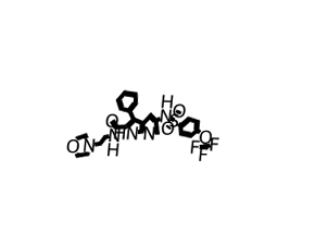 O=C(NCCN1CCOCC1)c1[nH]c2ncc(NS(=O)(=O)c3ccc(OC(F)(F)F)cc3)cc2c1-c1ccccc1